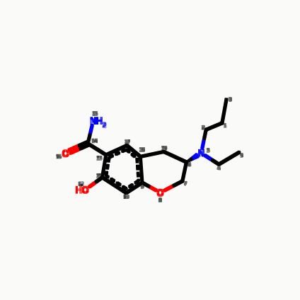 CCCN(CC)[C@H]1COc2cc(O)c(C(N)=O)cc2C1